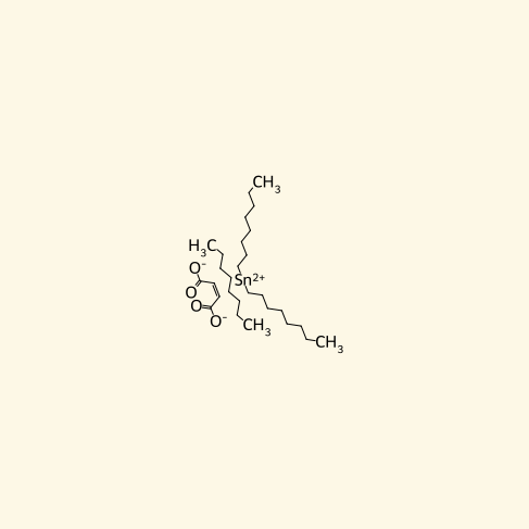 CCCCCCCC.CCCCCCC[CH2][Sn+2][CH2]CCCCCCC.O=C([O-])/C=C\C(=O)[O-]